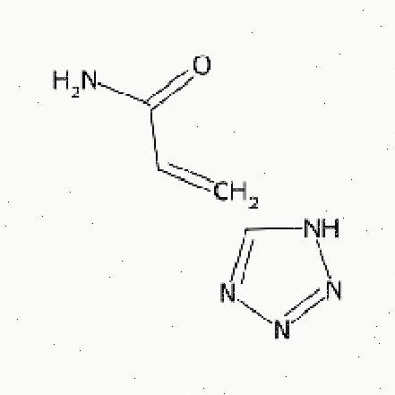 C=CC(N)=O.c1nnn[nH]1